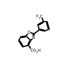 O=C(O)c1cccc2oc(-c3cccc(C(F)(F)F)c3)nc12